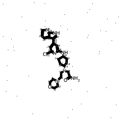 NC(=O)CN(CCN1CCOCC1)[C@H]1CC[C@H](Nc2cc(-c3c[nH]c4ncccc34)cc(Cl)n2)CC1